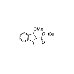 COC1c2ccccc2C(C)N1C(=O)OC(C)(C)C